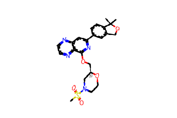 CC1(C)OCc2cc(-c3cc4nccnc4c(OC[C@@H]4CN(S(C)(=O)=O)CCO4)n3)ccc21